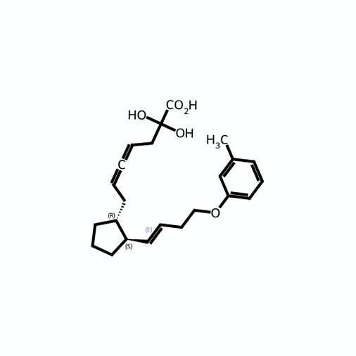 Cc1cccc(OCC/C=C/[C@H]2CCC[C@@H]2CC=C=CCC(O)(O)C(=O)O)c1